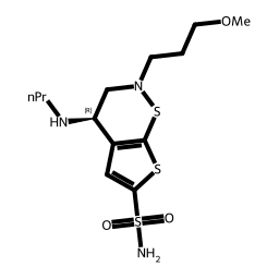 CCCN[C@H]1CN(CCCOC)Sc2sc(S(N)(=O)=O)cc21